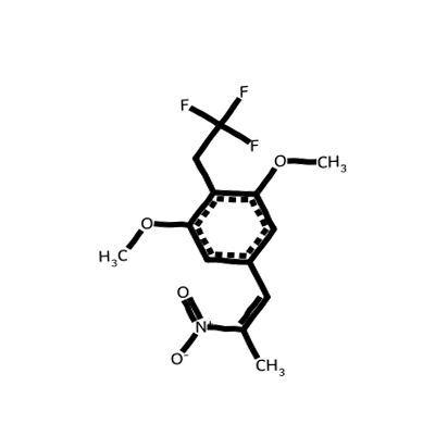 COc1cc(C=C(C)[N+](=O)[O-])cc(OC)c1CC(F)(F)F